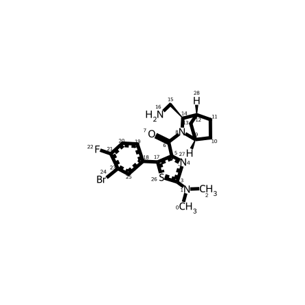 CN(C)c1nc(C(=O)N2[C@H]3CC[C@H](C3)[C@@H]2CN)c(-c2ccc(F)c(Br)c2)s1